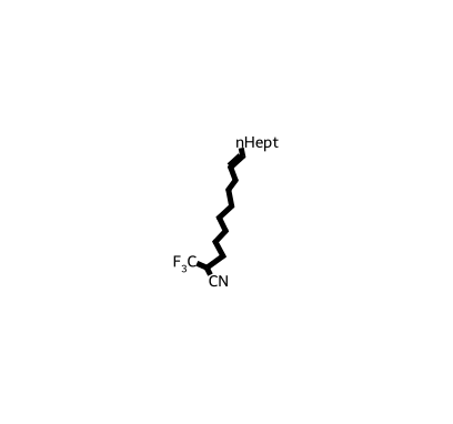 CCCCCCC/C=C/CCCCCCCC(C#N)C(F)(F)F